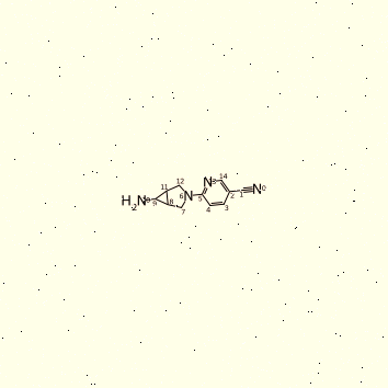 N#Cc1ccc(N2CC3C(N)C3C2)nc1